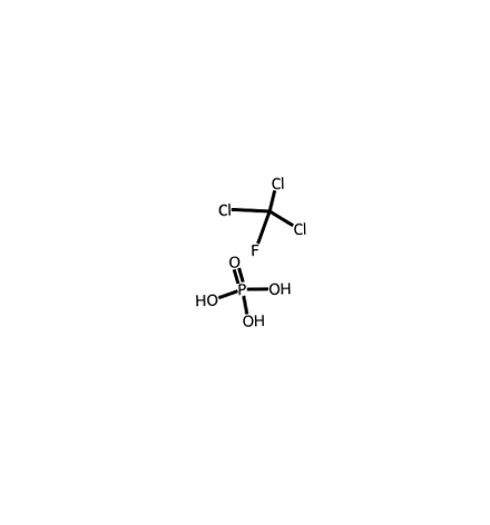 FC(Cl)(Cl)Cl.O=P(O)(O)O